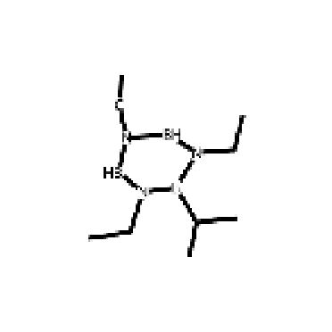 CCN1BN(CC)B(C(C)C)N(CC)B1